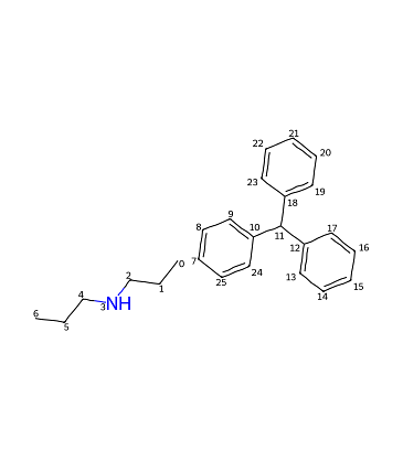 CCCNCCC.c1ccc(C(c2ccccc2)c2ccccc2)cc1